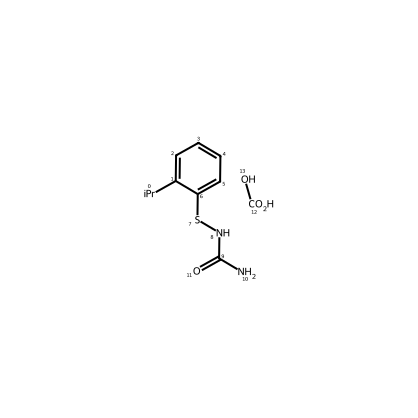 CC(C)c1ccccc1SNC(N)=O.O=C(O)O